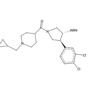 CN[C@H]1CN(C(=O)C2CCN(CC3CC3)CC2)C[C@@H]1c1ccc(Cl)c(Cl)c1